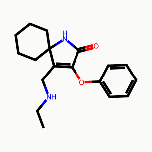 CCNCC1=C(Oc2ccccc2)C(=O)NC12CCCCC2